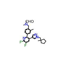 Cc1cc(-c2nc(F)c(F)cc2-c2cnn(CC3(C)CCCC3)c2)ccc1CN(C)C=O